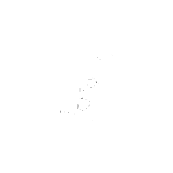 CNc1nc(Nc2cn(C3CCN(C)CC3)nc2C)ncc1C(F)(F)F